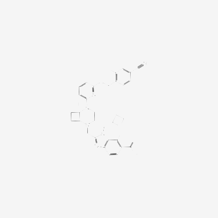 N#Cc1ccc(COc2cccc(N3CCN(Cc4nc5ccc(C(=O)O)c(Cl)c5n4C[C@@H]4CCO4)[C@H]4CC[C@H]43)n2)c(F)c1